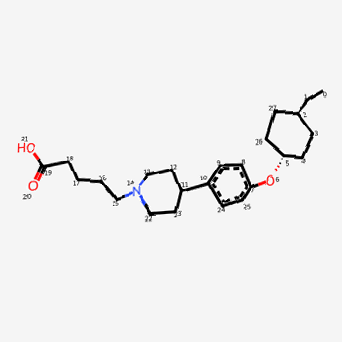 CC[C@H]1CC[C@H](Oc2ccc(C3CCN(CCCCC(=O)O)CC3)cc2)CC1